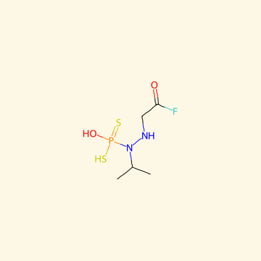 CC(C)N(NCC(=O)F)P(O)(=S)S